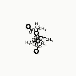 CCCCC(c1cc(C(C)C)c(OC(=O)c2ccccc2)cc1C)c1cc(C(C)(C)C)c(OC(=O)c2ccccc2)cc1C